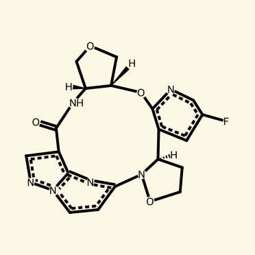 O=C1N[C@@H]2COC[C@@H]2Oc2ncc(F)cc2[C@H]2CCON2c2ccn3ncc1c3n2